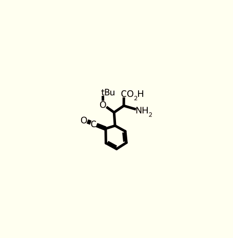 CC(C)(C)OC(C(N)C(=O)O)C1C=CC=CC1=C=O